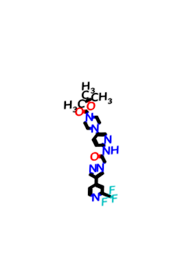 CC(C)(C)OC(=O)N1CCN(c2ccc(NC(=O)Cn3cc(-c4ccnc(C(F)(F)F)c4)cn3)nc2)CC1